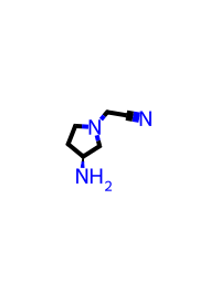 N#CCN1CC[C@H](N)C1